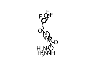 NNC1=C(N)CN(C(=O)c2cc3n(n2)CCN(C(=O)CCc2ccc(OC(F)(F)F)c(F)c2)CC3)CC1